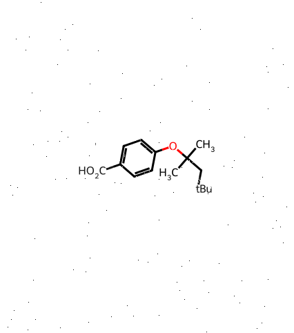 CC(C)(C)CC(C)(C)Oc1ccc(C(=O)O)cc1